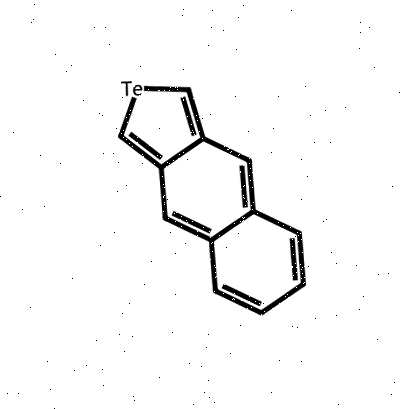 c1ccc2cc3c[te]cc3cc2c1